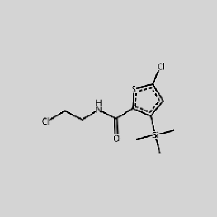 C[Si](C)(C)c1cc(Cl)sc1C(=O)NCCCl